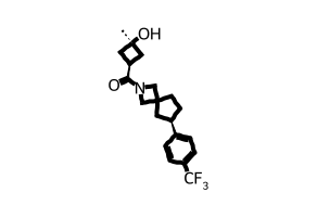 C[C@]1(O)C[C@@H](C(=O)N2CC3(CC[C@@H](c4ccc(C(F)(F)F)cc4)C3)C2)C1